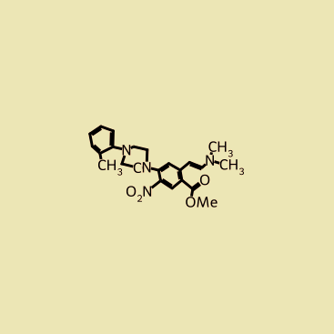 COC(=O)c1cc([N+](=O)[O-])c(N2CCN(c3ccccc3C)CC2)cc1/C=C/N(C)C